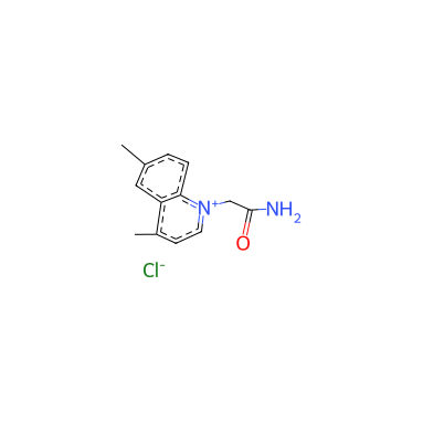 Cc1ccc2c(c1)c(C)cc[n+]2CC(N)=O.[Cl-]